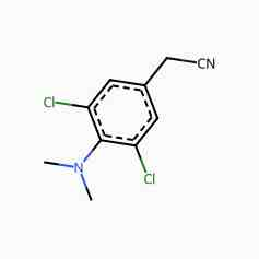 CN(C)c1c(Cl)cc(CC#N)cc1Cl